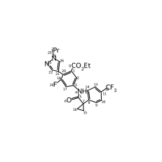 CCOC(=O)c1cc(NC(=O)C2(c3ccc(C(F)(F)F)cc3)CC2)cc(F)c1-c1cnn(C(C)C)c1